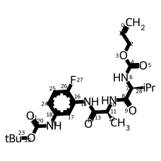 C=CCOC(=O)N[C@H](C(=O)N[C@@H](C)C(=O)Nc1cc(NC(=O)OC(C)(C)C)ccc1F)C(C)C